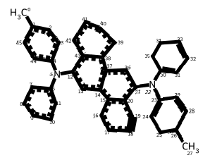 Cc1ccc(N(c2ccccc2)c2cc3c4ccc#cc4c(N(C4=CCC(C)C=C4)C4=CC=CCC4)cc3c3ccccc23)cc1